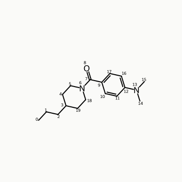 CCCC1CCN(C(=O)c2ccc(N(C)C)cc2)CC1